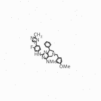 CNc1nc(Nc2ccc(-n3cnc(C)n3)c(F)c2)nc2c1CN(Cc1ccc(OC)cc1)CC2c1ccccc1